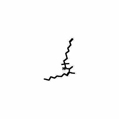 C=CCCCCCCC(C)(C)PC(C)/C(C)=C\CCCCCCC